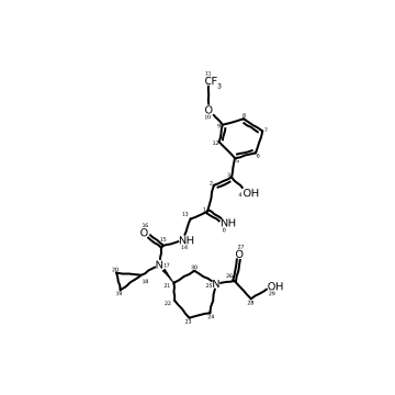 N=C(/C=C(\O)c1cccc(OC(F)(F)F)c1)CNC(=O)N(C1CC1)[C@@H]1CCCN(C(=O)CO)C1